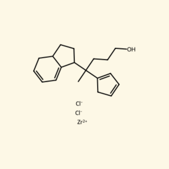 CC(CCCO)(C1=CC=CC1)C1CCC2CC=CC=C21.[Cl-].[Cl-].[Zr+2]